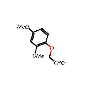 COc1ccc(OC[C]=O)c(OC)c1